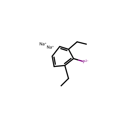 CCc1cccc(CC)c1[P-2].[Na+].[Na+]